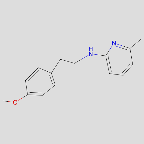 COc1ccc(CCNc2cccc(C)n2)cc1